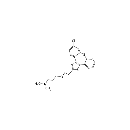 CN(C)CCCOCCc1nc2c(s1)-c1ccccc1Sc1cc(Cl)ccc1-2